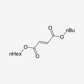 CCCCCCOC(=O)/C=C/C(=O)OCCCC